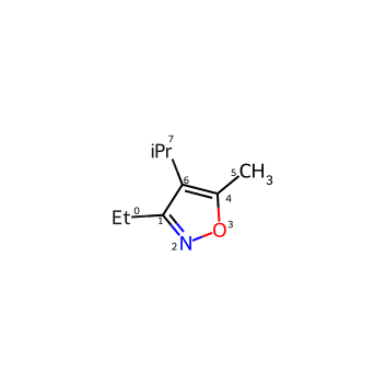 CCc1noc(C)c1C(C)C